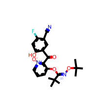 CC(C)(C)O/N=C(\Oc1ccc[n+]([O-])c1C(=O)c1cc(C#N)c(F)cc1O)C(C)(C)C